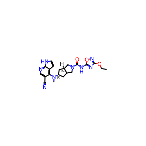 CCOc1noc(NC(=O)N2CC3C[C@@H](N(C)c4c(C#N)cnc5[nH]ccc45)C[C@@H]3C2)n1